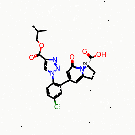 CC(C)COC(=O)c1cn(-c2ccc(Cl)cc2-c2cc3n(c(=O)c2)[C@H](C(=O)O)CC3)nn1